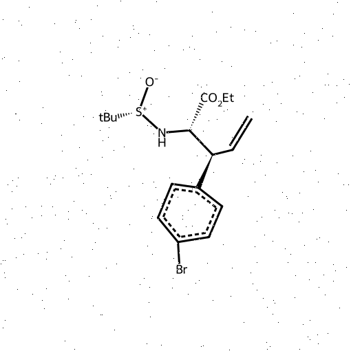 C=C[C@@H](c1ccc(Br)cc1)[C@H](N[S@@+]([O-])C(C)(C)C)C(=O)OCC